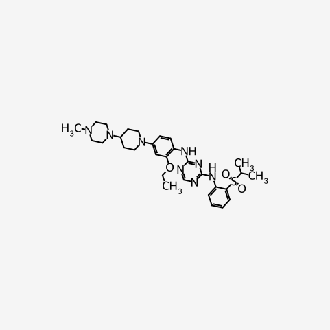 CCOc1cc(N2CCC(N3CCN(C)CC3)CC2)ccc1Nc1ncnc(Nc2ccccc2S(=O)(=O)C(C)C)n1